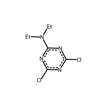 CCN(CC)c1nc(Cl)nc(Cl)n1